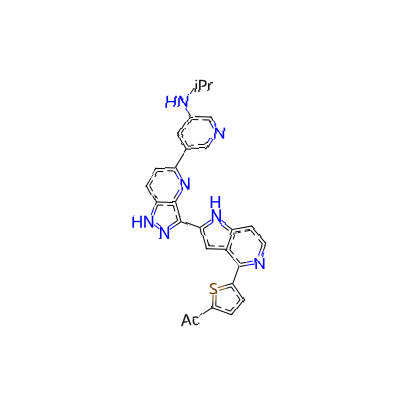 CC(=O)c1ccc(-c2nccc3[nH]c(-c4n[nH]c5ccc(-c6cncc(NC(C)C)c6)nc45)cc23)s1